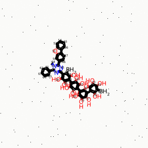 Bc1c(O)c(-c2c(O)c(O)c(-c3c(O)c(O)c(O)c4c3oc3c(O)c(O)c(B)c(O)c34)c(O)c2O)c(O)c(O)c1C(/N=C(\N=C)c1ccc2c(c1)oc1ccccc12)=N/Cc1ccccc1